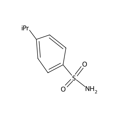 CC(C)c1ccc(S(N)(=O)=O)cc1